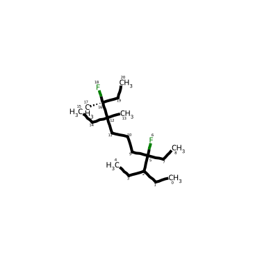 CCC(CC)C(F)(CC)CCCC(C)(CC)[C@@](C)(F)CC